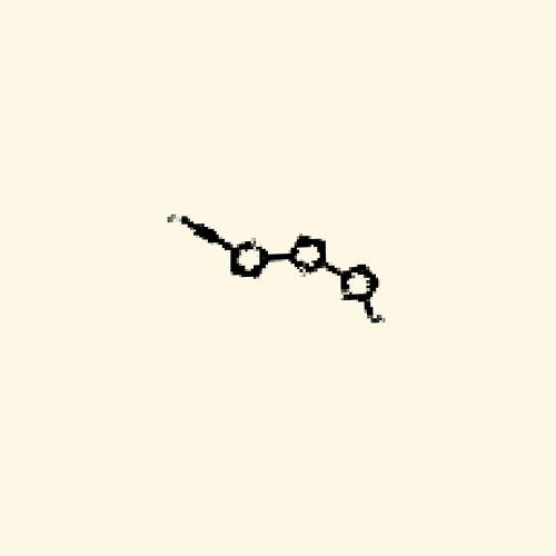 CCCC#Cc1ccc(-c2ccc(-c3ccc(CCC)s3)s2)s1